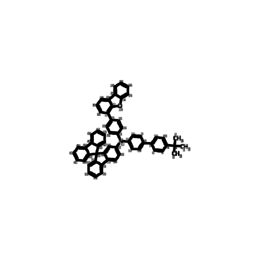 CC(C)(C)c1ccc(-c2ccc(N(c3ccc(-c4cccc5c4oc4ccccc45)cc3)c3ccc4c(c3)C3(c5ccccc5-c5ccccc53)c3ccccc3-4)cc2)cc1